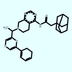 CC(C1=COC=C(C2=CC=CCC2)O1)N1CCc2c(ncnc2NC(=O)CC23CC4CC(CC(C4)C2)C3)C1